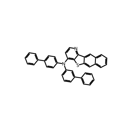 c1ccc(-c2ccc(N(c3cccc(-c4ccccc4)c3)c3ccnc4c3sc3cc5ccccc5cc34)cc2)cc1